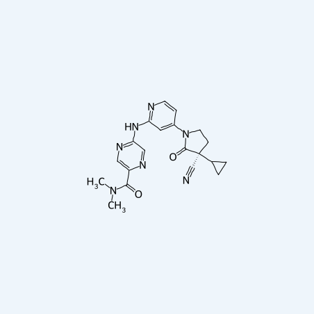 CN(C)C(=O)c1cnc(Nc2cc(N3CC[C@@](C#N)(C4CC4)C3=O)ccn2)cn1